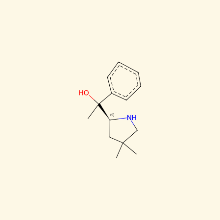 CC1(C)CN[C@H](C(C)(O)c2ccccc2)C1